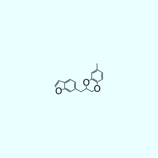 Cc1ccc2c(c1)OC(Cc1ccc3ccoc3c1)CO2